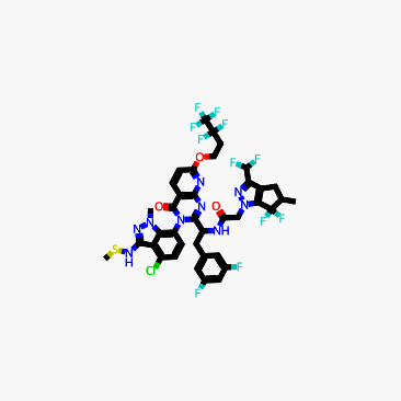 CSNc1nn(C)c2c(-n3c(C(Cc4cc(F)cc(F)c4)NC(=O)Cn4nc(C(F)F)c5c4C(F)(F)C(C)C5)nc4nc(OCCC(F)(F)C(F)(F)F)ccc4c3=O)ccc(Cl)c12